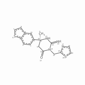 C[C@@]1(c2ccc3sccc3c2)CC(=O)N(Cc2nccs2)C(=N)N1